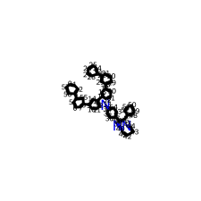 c1ccc(-c2cccc(-c3ccc4c(c3)c3cc(-c5cccc(-c6ccccc6)c5)ccc3n4-c3ccc(-c4nc5ccccn5c4-c4ccccc4)cc3)c2)cc1